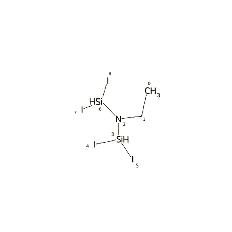 CCN([SiH](I)I)[SiH](I)I